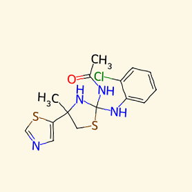 CC(=O)NC1(Nc2ccccc2Cl)NC(C)(c2cncs2)CS1